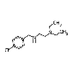 CCN(CC)CCNCc1ccc(Cl)cc1